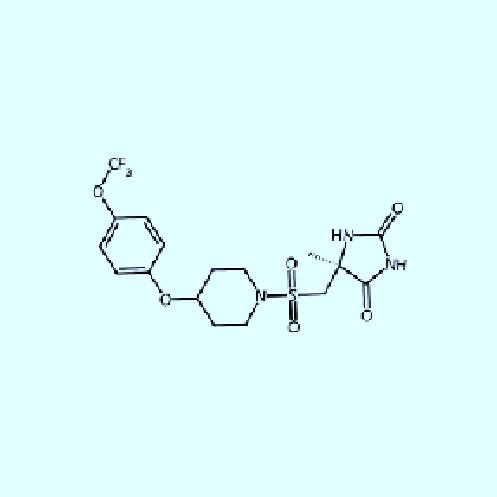 C[C@]1(CS(=O)(=O)N2CCC(Oc3ccc(OC(F)(F)F)cc3)CC2)NC(=O)NC1=O